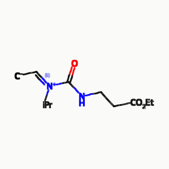 [CH2-]/C=[N+](/C(=O)NCCC(=O)OCC)C(C)C